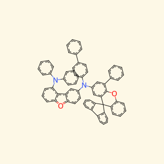 c1ccc(-c2ccc(N(c3cc(-c4ccccc4)c4c(c3)C3(c5ccccc5O4)c4ccccc4-c4ccccc43)c3ccc4oc5cccc(N(c6ccccc6)c6ccccc6)c5c4c3)cc2)cc1